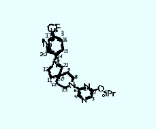 CC(C)Oc1cncc(N2CCC3(CCN(c4ccc(C(F)(F)F)nc4)C3)CC2)n1